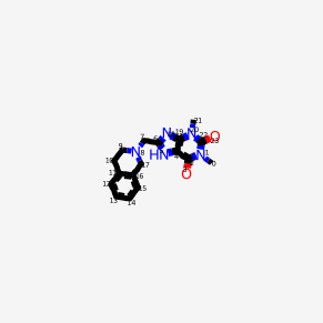 Cn1c(=O)c2[nH]c(CN3CCc4ccccc4C3)nc2n(C)c1=O